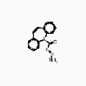 NN=NC(=O)N1c2ccccc2C=Cc2ccccc21